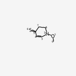 CON1C=CC(=S)CC1